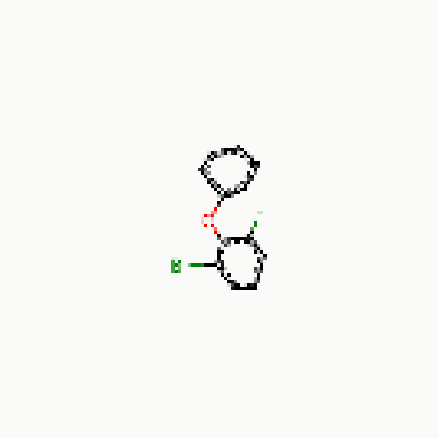 Fc1cccc(Br)c1Oc1ccccc1